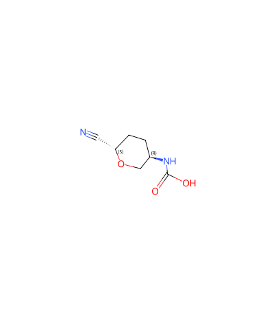 N#C[C@@H]1CC[C@@H](NC(=O)O)CO1